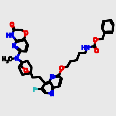 CN(c1ccc2c(n1)NC(=O)CO2)C12CCC(CCc3c(F)cnc4ccc(OCCCCCNC(=O)OCc5ccccc5)nc34)(CC1)OC2